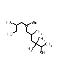 CCCCN(CC(C)CO)CC(C)CC(C)(C)C(C)S